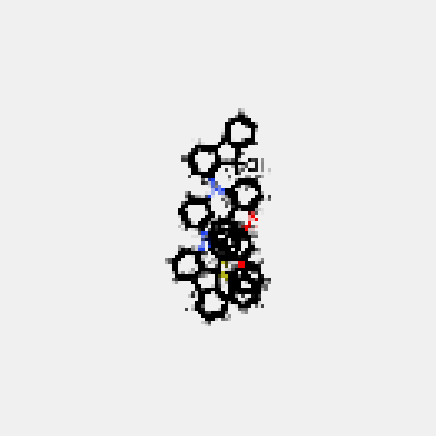 CC1(C)c2ccccc2-c2cccc(N(c3cccc(N(c4cccc5c4C(c4ccccc4)(c4ccccc4)c4ccccc4-5)c4cccc5c4sc4ccccc45)c3)c3cccc4oc5ccccc5c34)c21